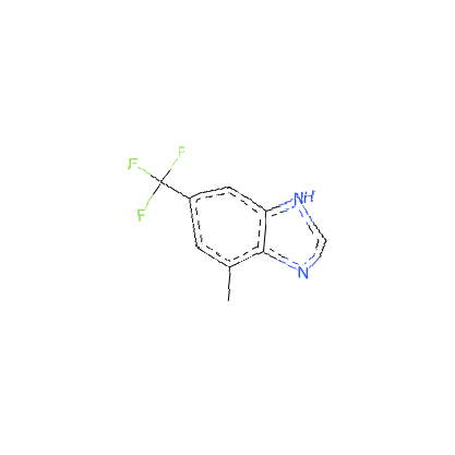 Cc1cc(C(F)(F)F)cc2[nH]cnc12